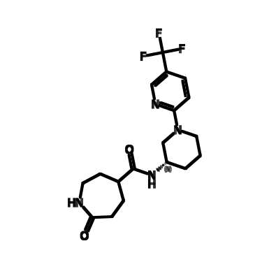 O=C1CCC(C(=O)N[C@H]2CCCN(c3ccc(C(F)(F)F)cn3)C2)CCN1